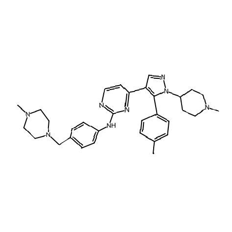 Cc1ccc(-c2c(-c3ccnc(Nc4ccc(CN5CCN(C)CC5)cc4)n3)cnn2C2CCN(C)CC2)cc1